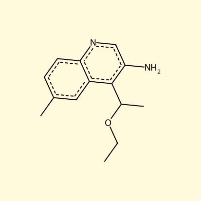 CCOC(C)c1c(N)cnc2ccc(C)cc12